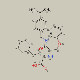 CC(C)c1ccc(CN2C(=O)[C@@H](N[C@@H](CCC3CCCCC3)C(=O)O)COc3ccccc32)cc1